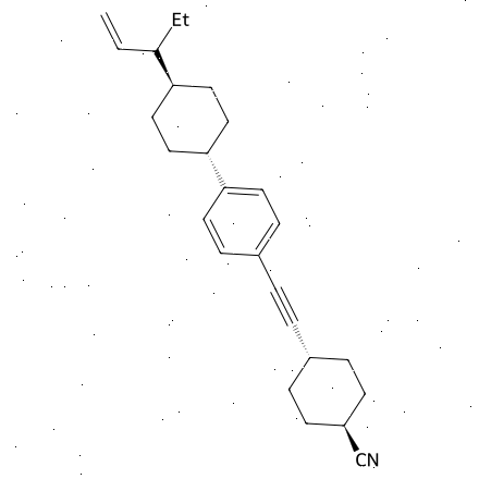 C=CC(CC)[C@H]1CC[C@H](c2ccc(C#C[C@H]3CC[C@H](C#N)CC3)cc2)CC1